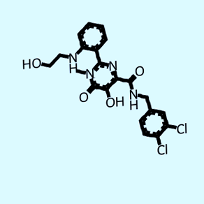 Cn1c(-c2ccccc2NCCO)nc(C(=O)NCc2ccc(Cl)c(Cl)c2)c(O)c1=O